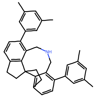 Cc1cc(C)cc(-c2ccc3c4c2CNCc2c(-c5cc(C)cc(C)c5)ccc5c2C4(CC3)CC5)c1